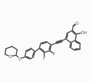 O=Cc1cc(C#Cc2ccc(-c3ccc(OC4CCCCO4)cc3)c(F)c2F)c2ccccc2c1O